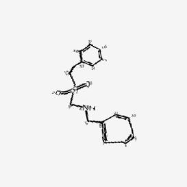 O=S(=O)([CH]NCc1ccccc1)Cc1ccccc1